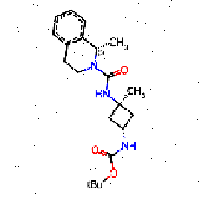 C[C@H]1c2ccccc2CCN1C(=O)N[C@]1(C)C[C@@H](NC(=O)OC(C)(C)C)C1